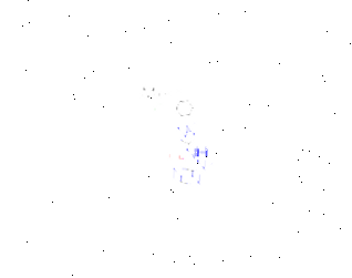 COc1ccc(Cn2cc(NC(=O)c3nccnc3N)cn2)cc1Cl